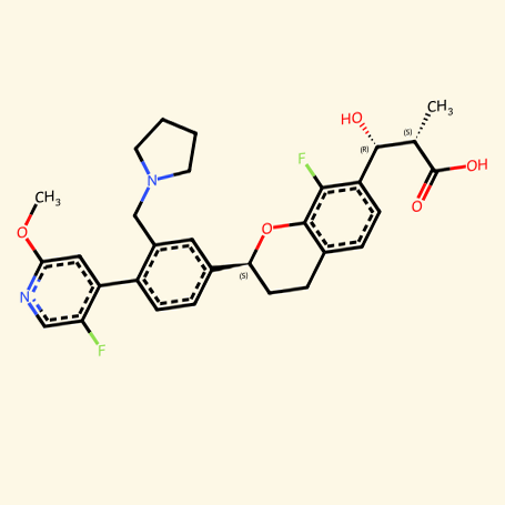 COc1cc(-c2ccc([C@@H]3CCc4ccc([C@H](O)[C@H](C)C(=O)O)c(F)c4O3)cc2CN2CCCC2)c(F)cn1